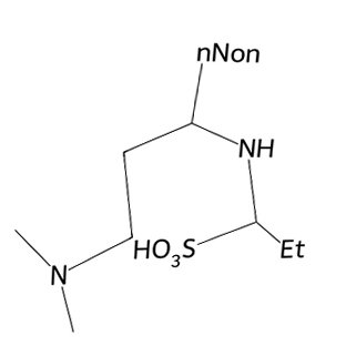 CCCCCCCCCC(CCN(C)C)NC(CC)S(=O)(=O)O